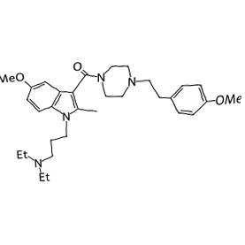 CCN(CC)CCCn1c(C)c(C(=O)N2CCN(CCc3ccc(OC)cc3)CC2)c2cc(OC)ccc21